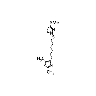 CSc1ccn(SCCCCCCn2nc(C)cc2C)n1